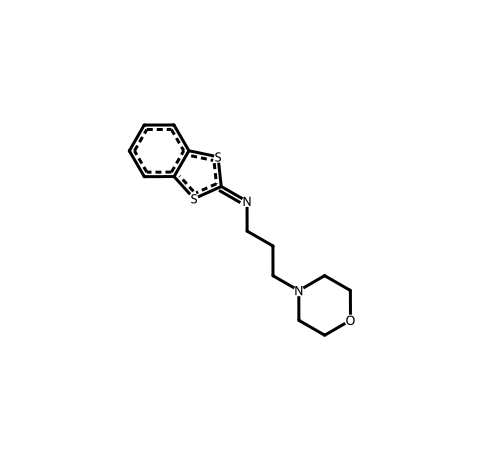 c1ccc2sc(=NCCCN3CCOCC3)sc2c1